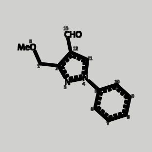 COCc1nn(-c2ccccc2)cc1C=O